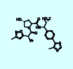 Cc1cc(C(C(=O)N2C[C@H](O)C[C@H]2C(=O)NC(CC(=O)O)c2ccc(-c3scnc3C)cc2)C(C)C)on1